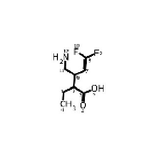 CCC(C(=O)O)C(C=C(F)F)CN